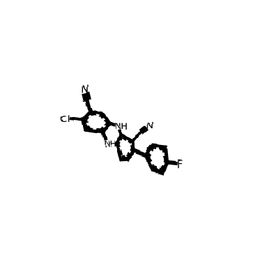 N#Cc1cc(Nc2cccc(-c3ccc(F)cc3)c2C#N)c(N)cc1Cl